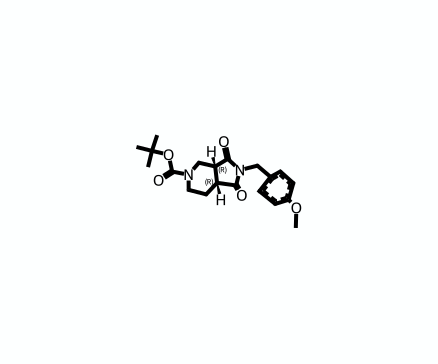 COc1ccc(CN2C(=O)[C@H]3CN(C(=O)OC(C)(C)C)CC[C@H]3C2=O)cc1